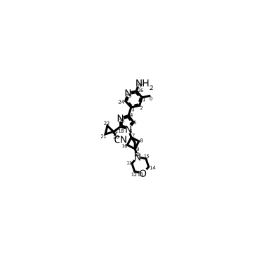 Cc1cc(-c2cn(C34CC(N5CCOCC5)(C3)C4)c(C3(C#N)CC3)n2)cnc1N